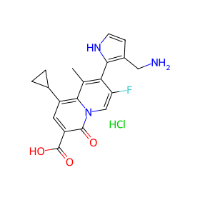 Cc1c(-c2[nH]ccc2CN)c(F)cn2c(=O)c(C(=O)O)cc(C3CC3)c12.Cl